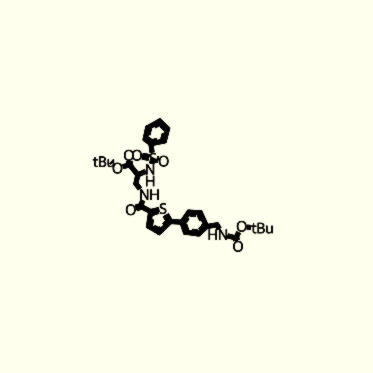 CC(C)(C)OC(=O)NCc1ccc(-c2ccc(C(=O)NCC(NS(=O)(=O)c3ccccc3)C(=O)OC(C)(C)C)s2)cc1